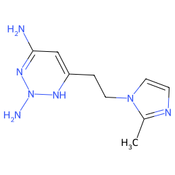 Cc1nccn1CCC1=CC(N)=NN(N)N1